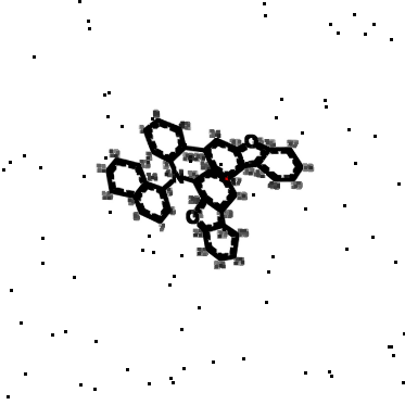 c1ccc(N(c2cccc3ccccc23)c2cccc3c2oc2ccccc23)c(-c2ccc3c(c2)oc2ccccc23)c1